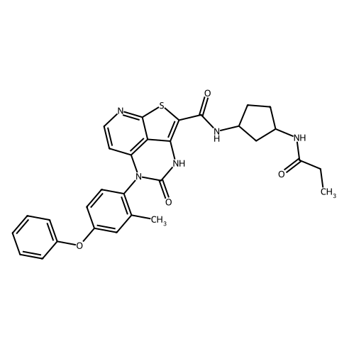 CCC(=O)NC1CCC(NC(=O)c2sc3nccc4c3c2NC(=O)N4c2ccc(Oc3ccccc3)cc2C)C1